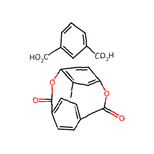 Cc1cc2ccc1OC(=O)c1ccc(cc1)C(=O)O2.O=C(O)c1cccc(C(=O)O)c1